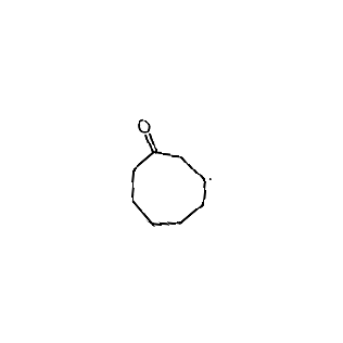 O=C1C[CH]CCCCC1